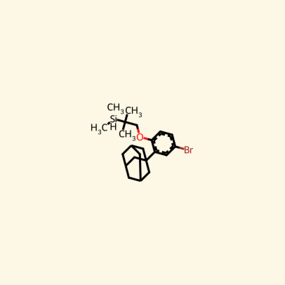 C[SiH](C)C(C)(C)COc1ccc(Br)cc1C12CC3CC(CC(C3)C1)C2